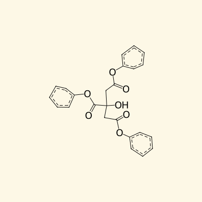 O=C(CC(O)(CC(=O)Oc1ccccc1)C(=O)Oc1ccccc1)Oc1ccccc1